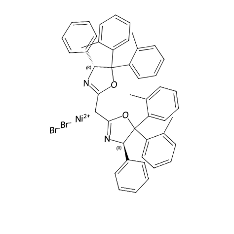 Cc1ccccc1C1(c2ccccc2C)OC(CC2=N[C@H](c3ccccc3)C(c3ccccc3C)(c3ccccc3C)O2)=N[C@@H]1c1ccccc1.[Br-].[Br-].[Ni+2]